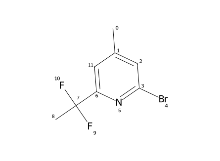 Cc1cc(Br)nc(C(C)(F)F)c1